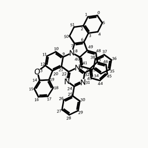 C1=CC2=C(CC1)c1c(n(-c3ccc4oc5ccccc5c4c3-c3nc(-c4ccccc4)nc(-c4ccccc4)n3)c3cc4ccccc4cc13)CC2